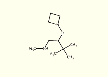 CNCC(ON1CCC1)C(C)(C)C